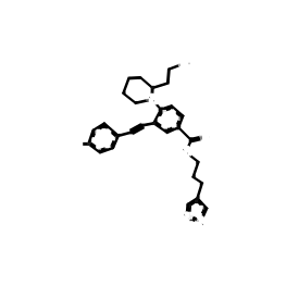 O=C(NCCCc1cn[nH]c1)c1ccc(N2CCCCC2CCO)c(C#Cc2ccc(F)cc2)c1